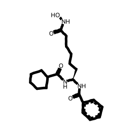 O=C(CCCCC[C@@H](NC(=O)c1ccccc1)NC(=O)C1CCCCC1)NO